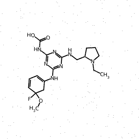 CCN1CCCC1CNc1nc(NC(=O)O)nc(NC2=CC=CC(F)(OC)C2)n1